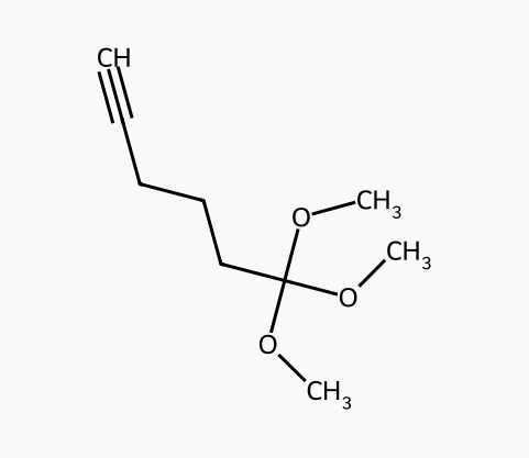 C#CCCCC(OC)(OC)OC